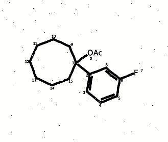 CC(=O)OC1(c2cccc(F)c2)CCCCCCC1